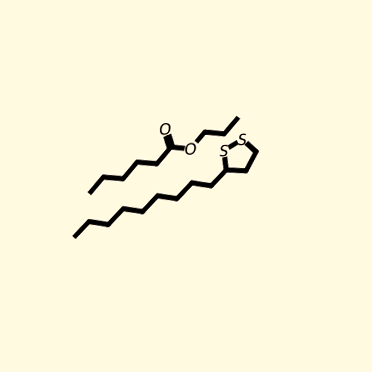 CCCCCC(=O)OCCC.CCCCCCCCCC1CCSS1